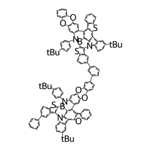 CC(C)(C)c1ccc(N2B3c4sc5ccc(-c6ccccc6)cc5c4-n4c5ccc(C(C)(C)C)cc5c5c6oc7ccccc7c6c(c3c54)-c3cc4c(cc32)Oc2cc(-c3cccc(-c5ccc6sc7c(c6c5)-n5c6ccc(C(C)(C)C)cc6c6c8sc9ccccc9c8c8c(c65)B7N(c5ccc(C(C)(C)C)cc5)c5cc6c(cc5-8)Oc5ccccc5O6)c3)ccc2O4)cc1